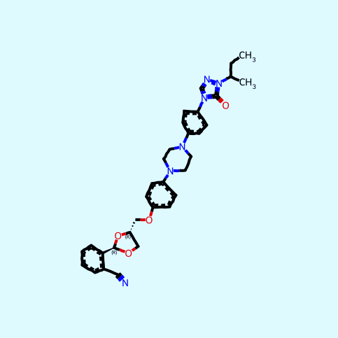 CCC(C)n1ncn(-c2ccc(N3CCN(c4ccc(OC[C@@H]5CO[C@@H](c6ccccc6C#N)O5)cc4)CC3)cc2)c1=O